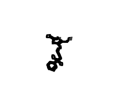 O=S(=O)(CCSc1sc(Cl)nc1CCl)c1ccccc1